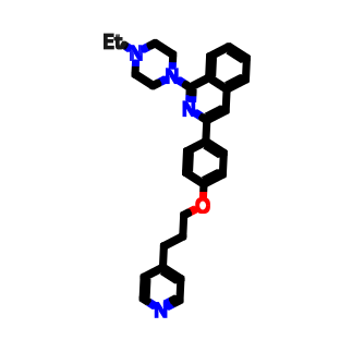 CCN1CCN(c2nc(-c3ccc(OCCCc4ccncc4)cc3)cc3ccccc23)CC1